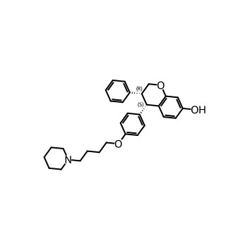 Oc1ccc2c(c1)OC[C@@H](c1ccccc1)[C@H]2c1ccc(OCCCCN2CCCCC2)cc1